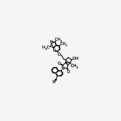 Cc1cc(OCCC23CC(O)C(C)(O2)C2C(=O)N(c4ccc(C#N)c5ccccc45)C(=O)C23)nc2c1c(C)nn2C